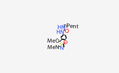 CCCCCNC(=O)Nc1ccc(Oc2cnc(NC)s2)c(COC)c1